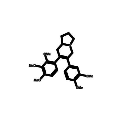 COc1ccc(C2=C(c3ccc(OC)c(OC)c3OC)CC3CCCN3C2)cc1OC